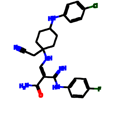 N#CCC1(N/C=C(\C(=N)Nc2ccc(F)cc2)C(N)=O)CCC(Nc2ccc(Cl)cc2)CC1